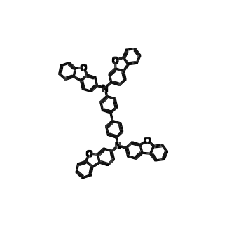 c1ccc2c(c1)oc1cc(N(c3ccc(-c4ccc(N(c5ccc6c(c5)oc5ccccc56)c5ccc6c(c5)oc5ccccc56)cc4)cc3)c3ccc4c(c3)oc3ccccc34)ccc12